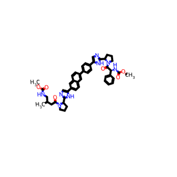 COC(=O)NCC(C)CC(=O)N1CCCC1c1ncc(-c2ccc3cc(-c4ccc(-c5cnc(C6CCCN6C(=O)[C@@H](NC(=O)OC)c6ccccc6)[nH]5)cc4)ccc3c2)[nH]1